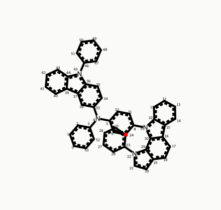 c1ccc(N(c2ccc(-n3c4ccccc4c4ccc5ccn(-c6ccccc6)c5c43)cc2)c2ccc3c(c2)c2ccccc2n3-c2ccccc2)cc1